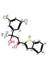 O=C(CC(O)(c1cc(Cl)cc(Cl)c1)C(F)(F)F)c1cc2ccccc2s1